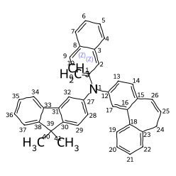 C=C(/C=c1/cccc/c1=C/C)N(c1ccc2c(c1)-c1ccccc1CC=C2)c1ccc2c(c1)-c1ccccc1C2(C)C